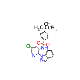 CC(C)(C)c1ccc(S(=O)(=O)Nc2cc(Cl)cnc2-n2ncc3ccccc32)cc1